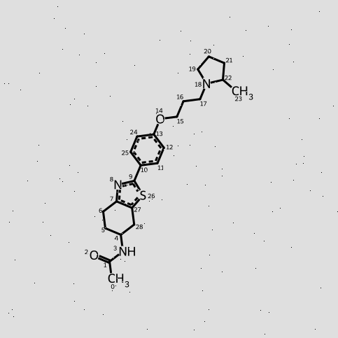 CC(=O)NC1CCc2nc(-c3ccc(OCCCN4CCCC4C)cc3)sc2C1